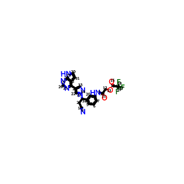 N#CCC(c1cccc(NC(=O)COC(=O)C(F)(F)F)c1)n1cc(-c2ncnc3[nH]ccc23)cn1